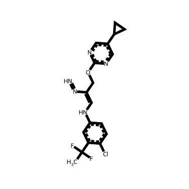 CC(F)(F)c1cc(N/C=C(/COc2ncc(C3CC3)cn2)N=N)ccc1Cl